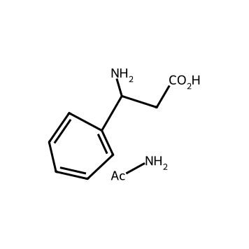 CC(N)=O.NC(CC(=O)O)c1ccccc1